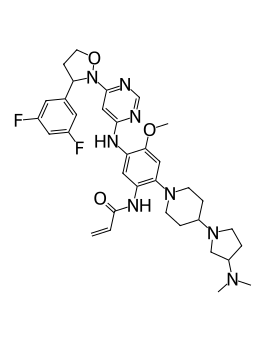 C=CC(=O)Nc1cc(Nc2cc(N3OCCC3c3cc(F)cc(F)c3)ncn2)c(OC)cc1N1CCC(N2CCC(N(C)C)C2)CC1